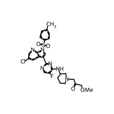 COCC(=O)CN1CCCC(Nc2nc(-c3cn(S(=O)(=O)c4ccc(C)cc4)c4ncc(Cl)cc34)ncc2F)C1